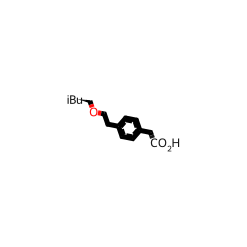 CC[C@H](C)COCCc1ccc(CC(=O)O)cc1